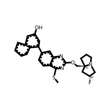 CSc1nc(OC[C@@]23CCCN2C[C@H](F)C3)nc2cc(-c3cc(O)cc4ccccc34)ccc12